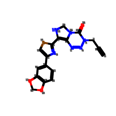 C#CCN1N=NC2=C(c3nc(-c4ccc5c(c4)OCO5)cs3)NCN2C1=O